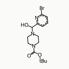 CC(C)(C)OC(=O)N1CCN(C(O)c2cccc(Br)n2)CC1